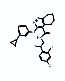 O=C(NCC(F)c1ccc(Cl)cc1Cl)c1c(Oc2cccc(C3CC3)c2)nnc2c1CCCC2